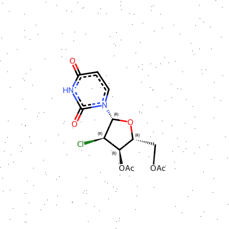 CC(=O)OC[C@H]1O[C@@H](n2ccc(=O)[nH]c2=O)[C@H](Cl)[C@@H]1OC(C)=O